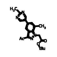 CC(=O)c1nn(CC(=O)OC(C)(C)C)c2c(C)cc(-c3cnc(C)nc3)cc12